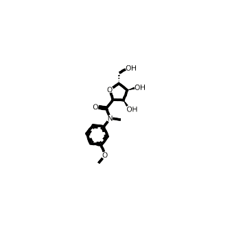 COc1cccc(N(C)C(=O)C2O[C@H](CO)[C@@H](O)[C@H]2O)c1